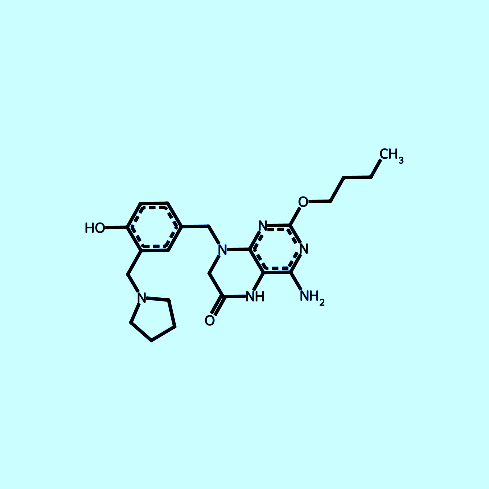 CCCCOc1nc(N)c2c(n1)N(Cc1ccc(O)c(CN3CCCC3)c1)CC(=O)N2